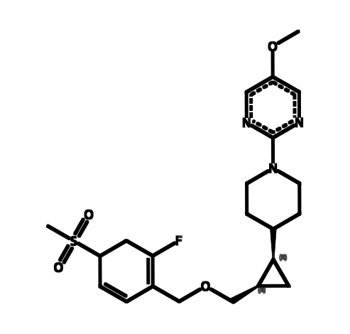 COc1cnc(N2CCC([C@H]3C[C@H]3COCC3=C(F)CC(S(C)(=O)=O)C=C3)CC2)nc1